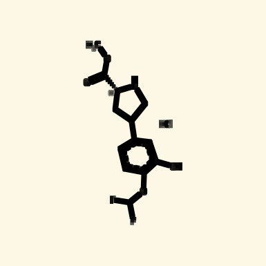 COC(=O)[C@H]1CC(c2ccc(OC(F)F)c(O)c2)CN1.Cl